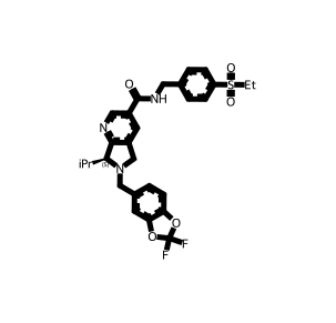 CCS(=O)(=O)c1ccc(CNC(=O)c2cnc3c(c2)CN(Cc2ccc4c(c2)OC(F)(F)O4)[C@H]3C(C)C)cc1